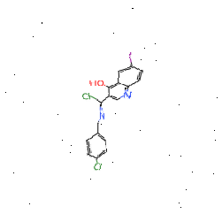 Oc1c(/C(Cl)=N/Cc2ccc(Cl)cc2)cnc2ccc(I)cc12